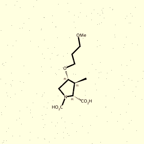 COCCCO[C@H]1CN(C(=O)O)[C@@H](C(=O)O)[C@@H]1C